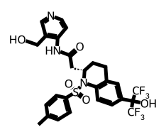 Cc1ccc(S(=O)(=O)N2c3ccc(C(O)(C(F)(F)F)C(F)(F)F)cc3CC[C@H]2CC(=O)Nc2ccncc2CO)cc1